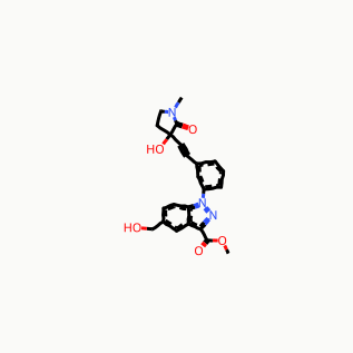 COC(=O)c1nn(-c2cccc(C#CC3(O)CCN(C)C3=O)c2)c2ccc(CO)cc12